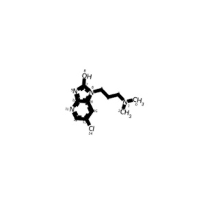 CN(C)CCCn1c(O)nc2ncc(Cl)cc21